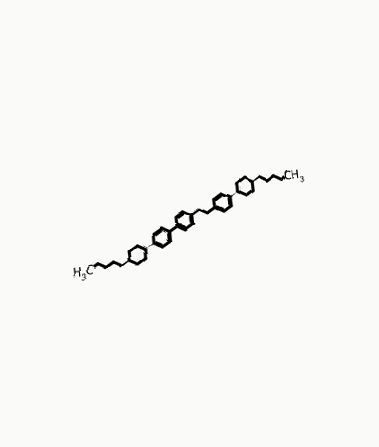 CCCCC[C@H]1CC[C@H](c2ccc(CCc3ccc(-c4ccc([C@H]5CC[C@H](CCCCC)CC5)cc4)cc3)cc2)CC1